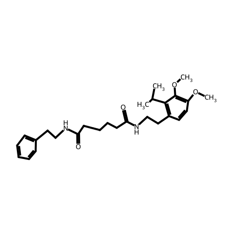 COc1ccc(CCNC(=O)CCCCC(=O)NCCc2ccccc2)c(C(C)C)c1OC